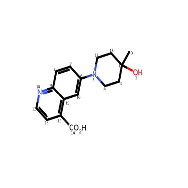 CC1(O)CCN(c2ccc3nccc(C(=O)O)c3c2)CC1